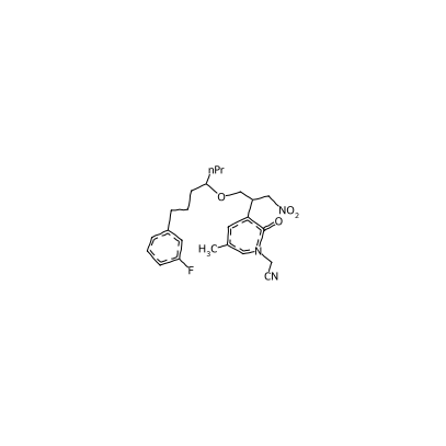 CCCC(CCCc1cccc(F)c1)OCC(C[N+](=O)[O-])c1cc(C)cn(CC#N)c1=O